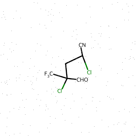 N#CC(Cl)CC(Cl)(C=O)C(F)(F)F